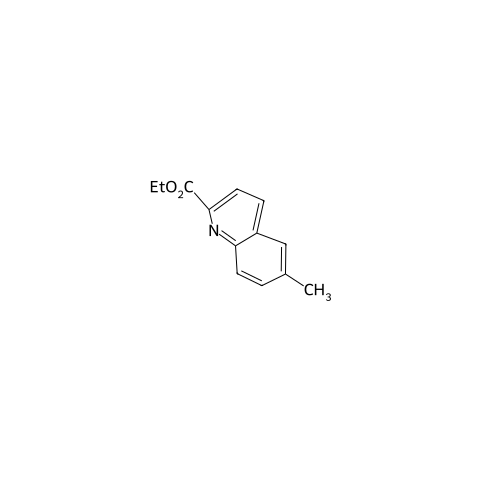 CCOC(=O)c1ccc2cc(C)ccc2n1